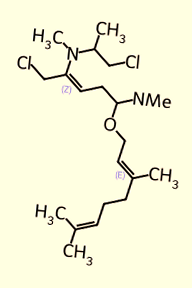 CNC(C/C=C(/CCl)N(C)C(C)CCl)OC/C=C(\C)CCC=C(C)C